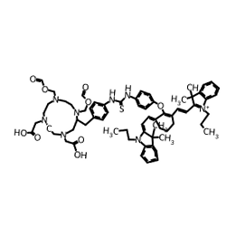 CCCN1/C(=C/C=C2\CCCC(/C=C/C3=[N+](CCC)c4ccccc4C3(C)C)=C2Oc2ccc(NC(=S)Nc3ccc(CC4CN(CC(=O)O)CCN(CC(=O)O)CCN(COC=O)CCN4COC=O)cc3)cc2)C(C)(C)c2ccccc21